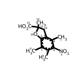 Cc1c(C)c([N+](=O)[O-])c(C)c2c1OC(C)(C(=O)O)C2